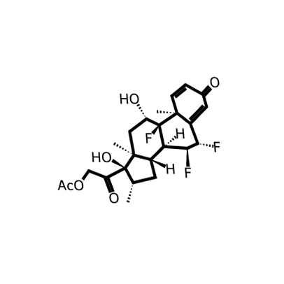 CC(=O)OCC(=O)[C@@]1(O)[C@@H](C)C[C@H]2[C@@H]3[C@H](F)[C@@H](F)C4=CC(=O)C=C[C@]4(C)[C@@]3(F)[C@@H](O)C[C@@]21C